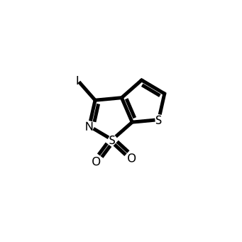 O=S1(=O)N=C(I)c2ccsc21